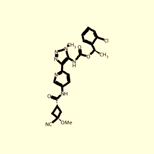 CO[C@]1(C#N)C[C@H](C(=O)Nc2ccc(-c3nnn(C)c3NC(=O)O[C@H](C)c3ccccc3Cl)nc2)C1